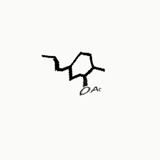 CC=CC1CCC(C)C(OC(C)=O)C1